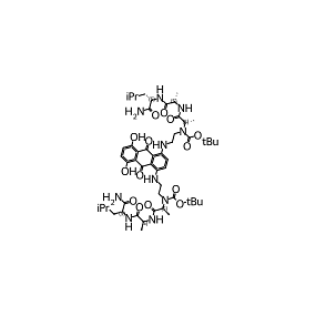 CC(C)C[C@H](NC(=O)[C@H](C)NC(=O)[C@H](C)N(CCNc1ccc(NCCN(C(=O)OC(C)(C)C)[C@@H](C)C(=O)N[C@@H](C)C(=O)N[C@@H](CC(C)C)C(N)=O)c2c1C(=O)c1c(O)ccc(O)c1C2=O)C(=O)OC(C)(C)C)C(N)=O